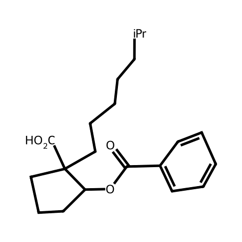 CC(C)CCCCCC1(C(=O)O)CCCC1OC(=O)c1ccccc1